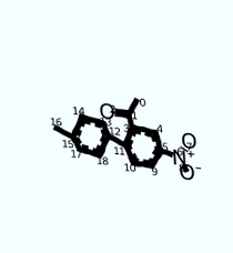 CC(=O)c1cc([N+](=O)[O-])ccc1-c1ccc(C)cc1